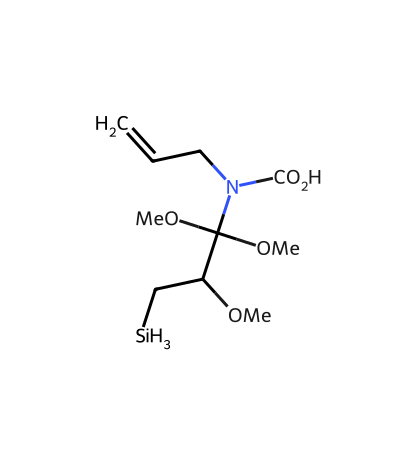 C=CCN(C(=O)O)C(OC)(OC)C(C[SiH3])OC